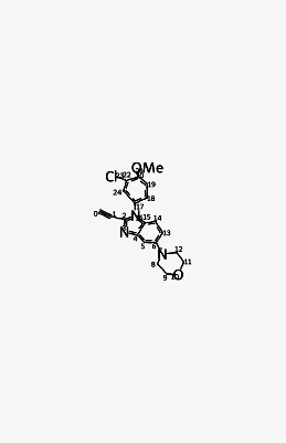 C#Cc1nc2cc(N3CCOCC3)ccc2n1-c1ccc(OC)c(Cl)c1